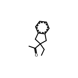 CCC1(C(C)=O)Cc2ccccc2C1